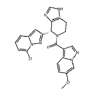 COc1ccc2c(C(=O)N3CCc4[nH]cnc4[C@H]3c3cc4cccc(Cl)n4n3)cnn2c1